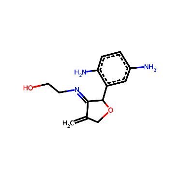 C=C1COC(c2cc(N)ccc2N)C1=NCCO